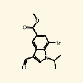 COC(=O)c1cc(Br)c2c(c1)c(C=O)cn2C(C)C